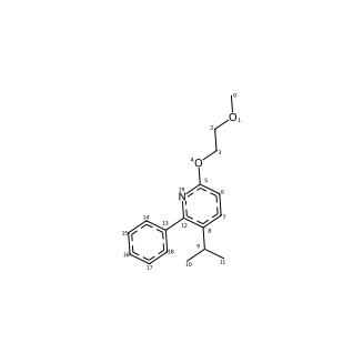 COCCOc1ccc(C(C)C)c(-c2ccccc2)n1